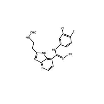 O=CNCCc1nc2nccc(/C(=N/O)Nc3ccc(F)c(Cl)c3)c2[nH]1